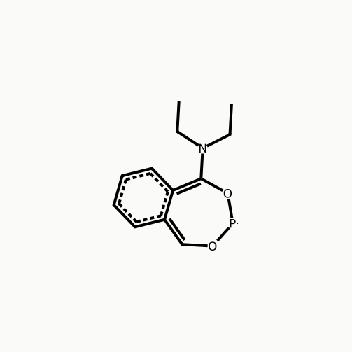 CCN(CC)C1=c2ccccc2=CO[P]O1